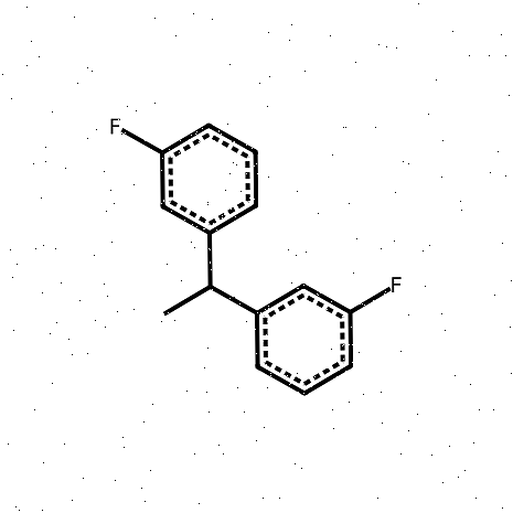 CC(c1cccc(F)c1)c1cccc(F)c1